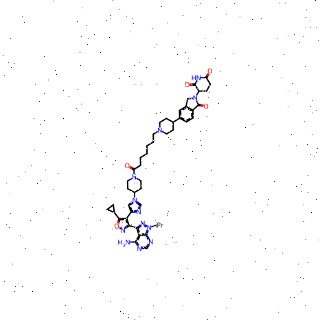 CC(C)n1nc(-c2noc(C3CC3)c2-c2cn(C3CCN(C(=O)CCCCCCN4CCC(c5ccc6c(c5)CN(C5CCC(=O)NC5=O)C6=O)CC4)CC3)cn2)c2c(N)ncnc21